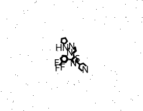 CN1CCC(c2nc(-c3cccc(C(F)(F)F)c3)c(-c3ccnc(NC4CCCC4)n3)s2)CC1